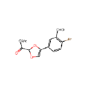 COC(=O)C1OC=C(c2ccc(Br)c(C=O)c2)O1